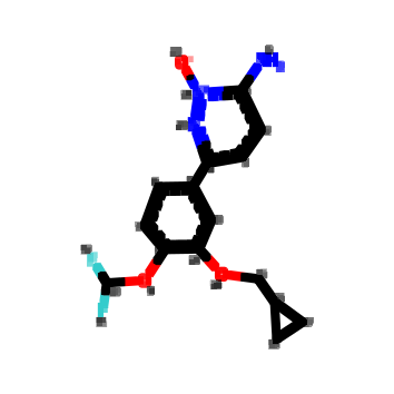 Nc1ccc(-c2ccc(OC(F)F)c(OCC3CC3)c2)n[n+]1[O-]